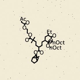 CCCCCCCCOC(=O)C(CC)CC(CCC(CCC(C)(C)C(=O)OCCOC(=O)CC(C)=O)C(=O)OC1CC2CCC1C2(C)C)C(=O)OCCCCCCCC